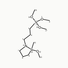 CO[Si](CCCN1CCC[Si]1(C)OC)(OC)OC